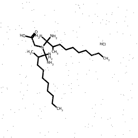 CCCCCCCCC(C)C(N)(N)N(CC(=O)O)C(N)(N)C(C)CCCCCCCC.Cl